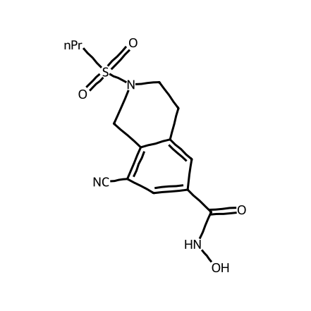 CCCS(=O)(=O)N1CCc2cc(C(=O)NO)cc(C#N)c2C1